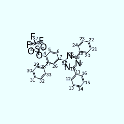 O=S(=O)(Oc1ccc(-c2nc(-c3ccccc3)nc(-c3ccccc3)n2)cc1-c1ccccc1)C(F)(F)F